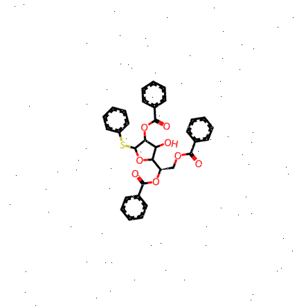 O=C(OC[C@@H](OC(=O)c1ccccc1)C1OC(Sc2ccccc2)C(OC(=O)c2ccccc2)C1O)c1ccccc1